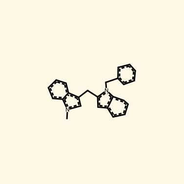 Cn1cc(Cc2cc3ccccc3n2Cc2ccccc2)c2ccccc21